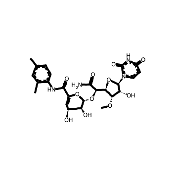 CO[C@H]1[C@@H](O)[C@H](n2ccc(=O)[nH]c2=O)O[C@@H]1[C@@H](O[C@H]1OC(C(=O)Nc2ccc(C)cc2C)=C[C@H](O)[C@@H]1O)C(N)=O